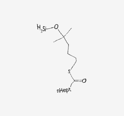 CCCCCCCC(=O)SCCCC(C)(C)O[SiH3]